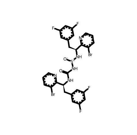 O=C(N[C@@H](Cc1cc(F)cc(F)c1)c1ncccc1Br)N[S+]([O-])N[C@@H](Cc1cc(F)cc(F)c1)c1ncccc1Br